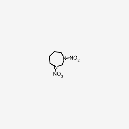 O=[N+]([O-])N1CCCCN([N+](=O)[O-])C1